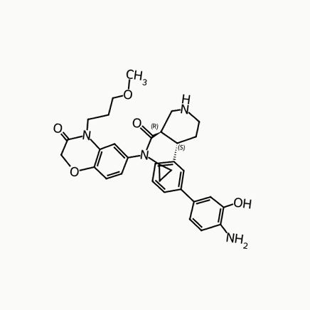 COCCCN1C(=O)COc2ccc(N(C(=O)[C@H]3CNCC[C@@H]3c3cccc(-c4ccc(N)c(O)c4)c3)C3CC3)cc21